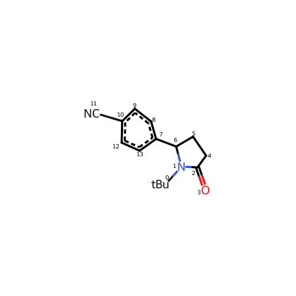 CC(C)(C)N1C(=O)CCC1c1ccc(C#N)cc1